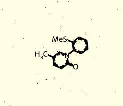 CSc1ccccc1-n1cc(C)ccc1=O